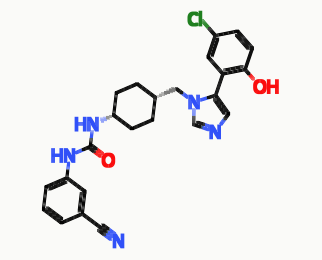 N#Cc1cccc(NC(=O)N[C@H]2CC[C@@H](Cn3cncc3-c3cc(Cl)ccc3O)CC2)c1